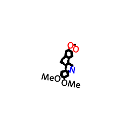 COc1cc2ncc3c4cc5c(cc4ccc3c2cc1OC)OCO5